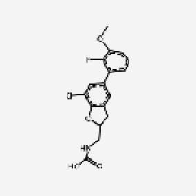 COc1cccc(-c2cc(Cl)c3c(c2)CC(CNC(=O)O)O3)c1F